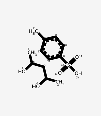 CC(O)CC(C)O.Cc1ccc(S(=O)(=O)O)cc1